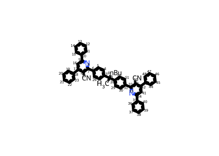 CCCCC(C)(c1ccc(-c2nc(-c3ccccc3)cc(-c3ccccc3)c2C#N)cc1)c1ccc(-c2nc(-c3ccccc3)cc(-c3ccccc3)c2C#N)cc1